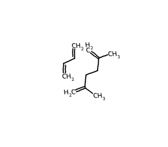 C=C(C)CCC(=C)C.C=CC=C